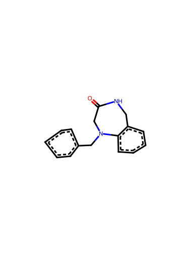 O=C1CN(Cc2ccccc2)c2ccccc2CN1